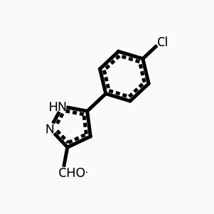 O=[C]c1cc(-c2ccc(Cl)cc2)[nH]n1